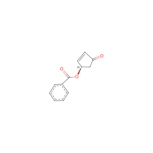 O=C1C=C[C@H](OC(=O)c2ccccc2)C1